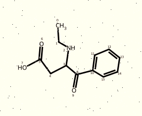 CCNC(CC(=O)O)C(=O)c1ccccc1